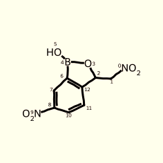 O=[N+]([O-])CC1OB(O)c2cc([N+](=O)[O-])ccc21